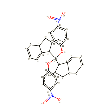 CC1CC2CC=CC=C2[CH]1[Zr]([O]c1ccc([N+](=O)[O-])cc1)([O]c1ccc([N+](=O)[O-])cc1)[CH]1C2=CC=CCC2CC1C